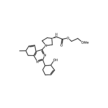 COCCOC(=O)N[C@@H]1CCN(c2nc(C3CCC=CC3O)nc3c2C=CC(C)C3)C1